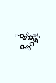 Cc1cc(-n2ccnc2[C@H]2CC[C@H](C(=O)OCc3ccccc3)CC2)c(N)cc1C(=O)N1CCc2cc(Cl)ccc21